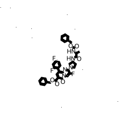 CC(NC(=O)OCc1ccccc1)C(=O)NC1CCN(c2nc3c(-c4ccc(F)cc4F)cc(C(=O)OCc4ccccc4)c(=O)n3cc2F)C1